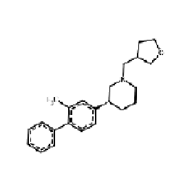 FC(F)(F)c1cc([C@@H]2CCCN(CC3CCOC3)C2)ccc1-c1ccccc1